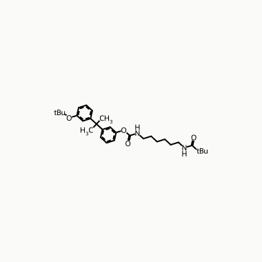 CC(C)(C)Oc1cccc(C(C)(C)c2cccc(OC(=O)NCCCCCCNC(=O)C(C)(C)C)c2)c1